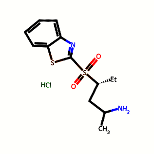 CC[C@H](CC(C)N)S(=O)(=O)c1nc2ccccc2s1.Cl